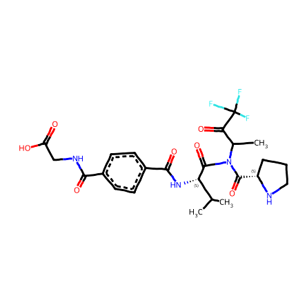 CC(C)[C@H](NC(=O)c1ccc(C(=O)NCC(=O)O)cc1)C(=O)N(C(=O)[C@@H]1CCCN1)C(C)C(=O)C(F)(F)F